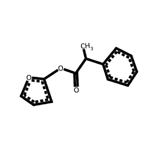 CC(C(=O)Oc1ccco1)c1ccccc1